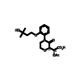 CC(=O)O[C@@H](C(=O)O)[C@H]1OCCN(c2ccccc2OCCC(C)(C)O)C1=O